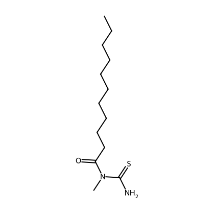 CCCCCCCCCCC(=O)N(C)C(N)=S